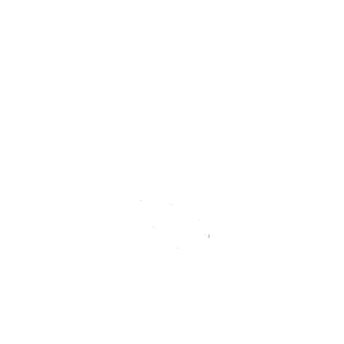 Cn1c(=O)[nH]c(=O)c2c1nc(N)n2CC(O)COc1ccc(Cl)cc1